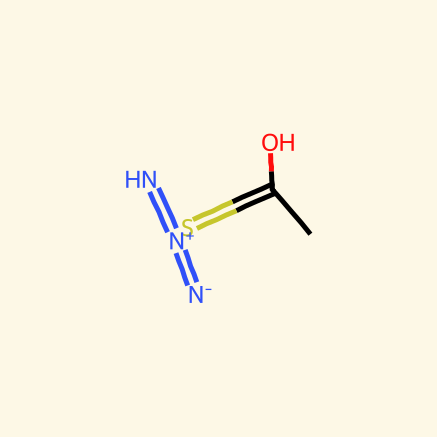 CC(O)=S.[N-]=[N+]=N